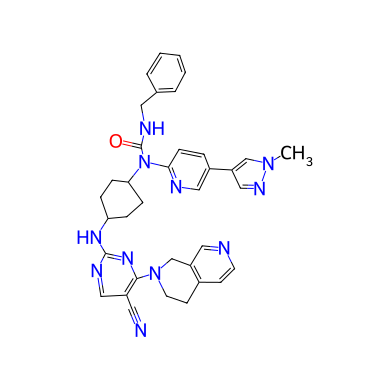 Cn1cc(-c2ccc(N(C(=O)NCc3ccccc3)C3CCC(Nc4ncc(C#N)c(N5CCc6ccncc6C5)n4)CC3)nc2)cn1